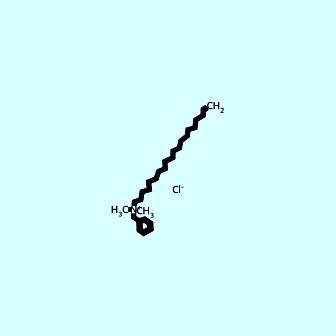 C=CCCCCCCCCCCCCCCCCCC[N+](C)(C)Cc1ccccc1.[Cl-]